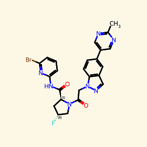 Cc1ncc(-c2ccc3c(cnn3CC(=O)N3C[C@H](F)C[C@H]3C(=O)Nc3cccc(Br)n3)c2)cn1